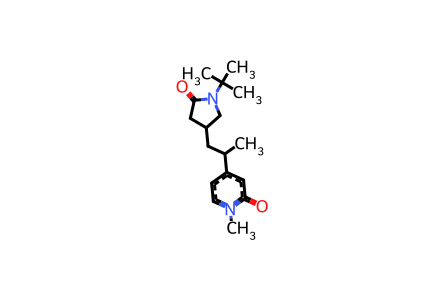 CC(CC1CC(=O)N(C(C)(C)C)C1)c1ccn(C)c(=O)c1